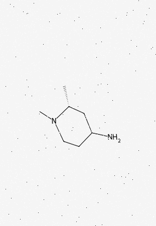 C[C@@H]1CC(N)CCN1C